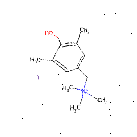 Cc1cc(C[N+](C)(C)C)cc(C)c1O.[I-]